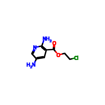 Nc1cnc(N)c(C(=O)OCCCl)c1